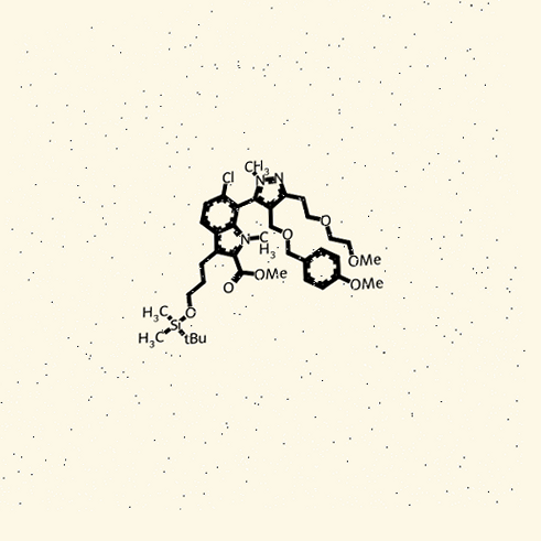 COCCOCCc1nn(C)c(-c2c(Cl)ccc3c(CCCO[Si](C)(C)C(C)(C)C)c(C(=O)OC)n(C)c23)c1COCc1ccc(OC)cc1